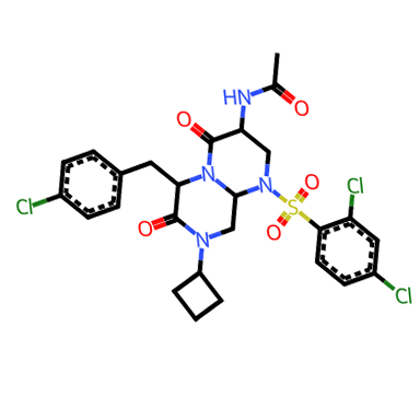 CC(=O)NC1CN(S(=O)(=O)c2ccc(Cl)cc2Cl)C2CN(C3CCC3)C(=O)C(Cc3ccc(Cl)cc3)N2C1=O